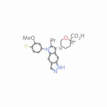 COc1cc(-n2c(C(C)C)c([C@H]3CC[C@](C)(C(=O)O)OC3)c3cc4[nH]ncc4cc32)ccc1F